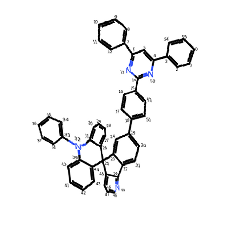 c1ccc(-c2cc(-c3ccccc3)nc(-c3ccc(-c4ccc5c(c4)C4(c6ccccc6N(c6ccccc6)c6ccccc64)c4cccnc4-5)cc3)n2)cc1